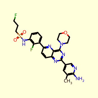 Cc1cc(-c2nc(N3CCOCC3)c3nc(-c4cccc(NS(=O)(=O)CCCF)c4F)ccc3n2)cnc1N